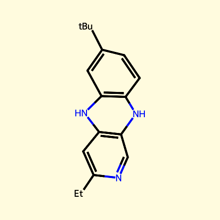 CCc1cc2c(cn1)Nc1ccc(C(C)(C)C)cc1N2